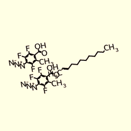 CC=CCCCCCCCCC.Cc1c(F)c(N=[N+]=[N-])c(F)c(F)c1C(=O)O.Cc1c(F)c(N=[N+]=[N-])c(F)c(F)c1C(=O)O